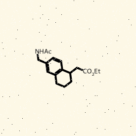 CCOC(=O)CC1CCCc2cc(CNC(C)=O)ccc21